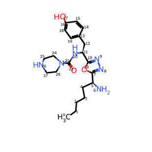 CCCCC[C@H](N)c1nnc([C@H](Cc2ccc(O)cc2)NC(=O)N2CCNCC2)o1